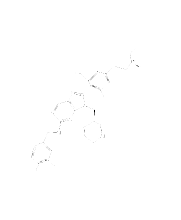 C[C@H](CO)COc1cc(Cl)c(-c2nc3cnc(NCc4ccc(F)c(F)c4)nc3n2C[C@@H]2CCCNC2)c(Cl)c1